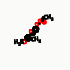 C=CC(=O)OCOc1ccc2cc(-c3ccc(OC)cc3C)oc2c1